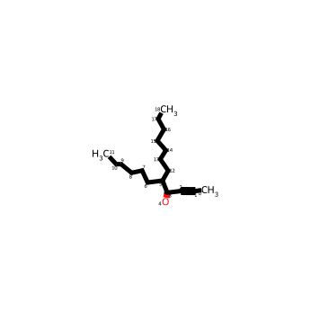 CC#CC(=O)C(CCCCCC)CCCCCCC